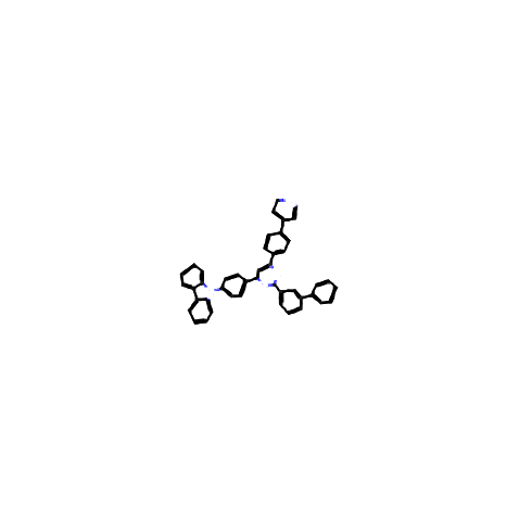 C1=CC(c2ccc(C3=CC(c4ccc(-n5c6ccccc6c6ccccc65)cc4)NC(c4cccc(-c5ccccc5)c4)N3)cc2)=CCN1